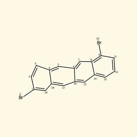 Brc1ccc2cc3cc4c(Br)cccc4cc3cc2c1